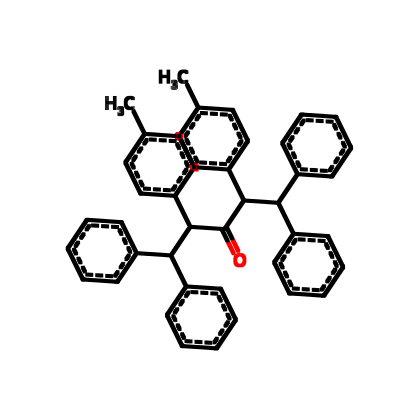 Cc1ccc(C(C(=O)C(c2ccc(C)cc2)C(c2ccccc2)c2ccccc2)C(c2ccccc2)c2ccccc2)cc1